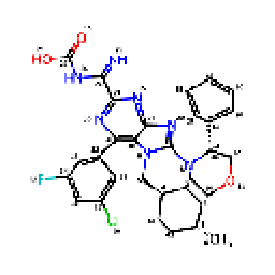 C[C@H]1CC[C@H](Cn2c(N3CCOC[C@H]3c3ccccc3)nc3nc(C(=N)NC(=O)O)nc(-c4cc(F)cc(Cl)c4)c32)CC1